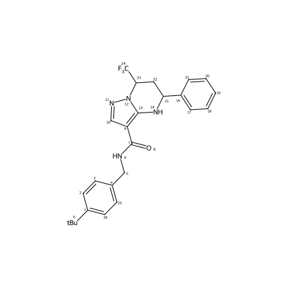 CC(C)(C)c1ccc(CNC(=O)c2cnn3c2NC(c2ccccc2)CC3C(F)(F)F)cc1